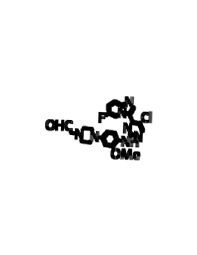 COc1cc(N2CCN(CC=O)CC2)ccc1Nc1ncc(Cl)c(-c2cnc3ccc(F)cn23)n1